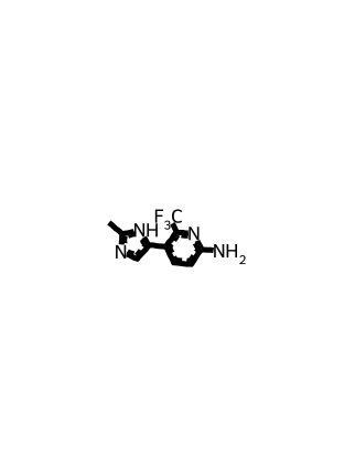 Cc1ncc(-c2ccc(N)nc2C(F)(F)F)[nH]1